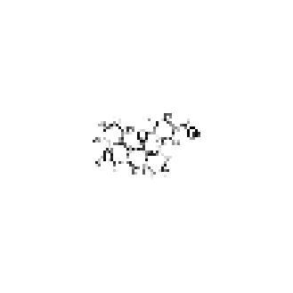 COCc1cc2ccccc2c(Oc2ccc(C=O)cc2)c1-c1ccccc1